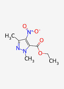 CCOC(=O)c1c([N+](=O)[O-])c(C)nn1C